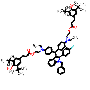 CCN(CCOC(=O)CCc1cc(C(C)(C)C)c(O)c(C(C)(C)C)c1)c1ccc(C(=C2C=CC(=[N+](CC)CCOC(=O)CCc3cc(C(C)(C)C)c(O)c(C(C)(C)C)c3)C=C2)c2c(-c3ccc(F)cc3)n(Cc3ccccc3)c3ccccc23)cc1